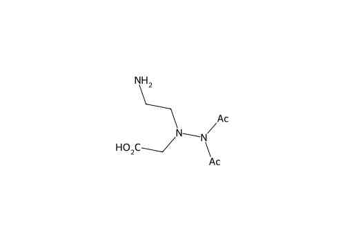 CC(=O)N(C(C)=O)N(CCN)CC(=O)O